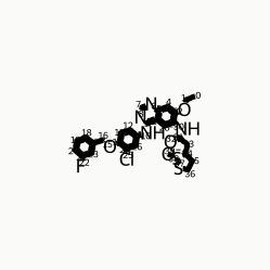 CCOc1cc2ncnc(Nc3ccc(OCc4cccc(F)c4)c(Cl)c3)c2cc1NC(=O)CC1CCS[S+]1[O-]